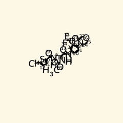 COC(=O)N[C@H](CNC(=O)c1ccc(Cl)s1)C(=O)Nc1ccc(N2CCOCC2=O)c(OC(F)F)c1